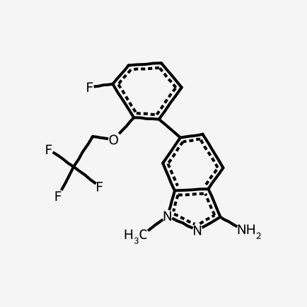 Cn1nc(N)c2ccc(-c3cccc(F)c3OCC(F)(F)F)cc21